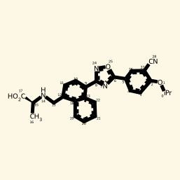 CC(C)Oc1ccc(-c2nc(-c3ccc(CN[C@@H](C)C(=O)O)c4ccccc34)no2)cc1C#N